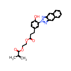 C=C(C)C(=O)OCCOC(=O)CCc1ccc(O)c(-n2nc3cc4ccccc4cc3n2)c1